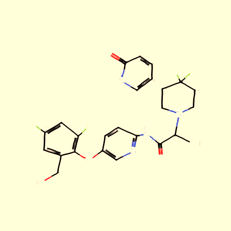 CC(C(=O)Nc1ccc(Oc2c(F)cc(F)cc2CO)cn1)N1CCC(F)(F)[C@@H](c2ccc(=O)[nH]c2)C1